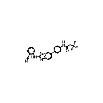 N#Cc1ccccc1Nc1nc2ccc(-c3ccc(NC(=O)CC(F)(F)F)cc3)cn2n1